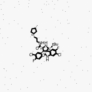 C[C@H]1CC[C@@H](CCCNC(=O)[C@@H]2N[C@H](CC(C)(C)C)[C@]3(C(=O)Nc4cc(Cl)c(F)cc43)[C@H]2c2ccc(F)c(Cl)c2)C1